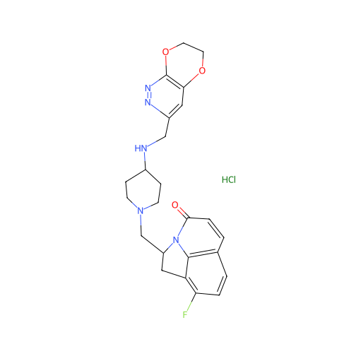 Cl.O=c1ccc2ccc(F)c3c2n1C(CN1CCC(NCc2cc4c(nn2)OCCO4)CC1)C3